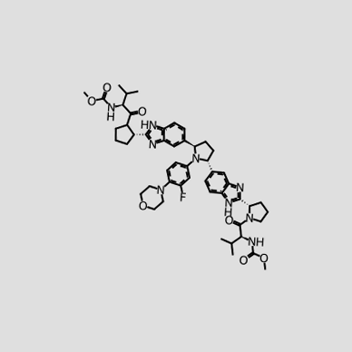 COC(=O)N[C@H](C(=O)C1CCC[C@H]1c1nc2cc([C@H]3CC[C@H](c4ccc5[nH]c([C@@H]6CCCN6C(=O)[C@@H](NC(=O)OC)C(C)C)nc5c4)N3c3ccc(N4CCOCC4)c(F)c3)ccc2[nH]1)C(C)C